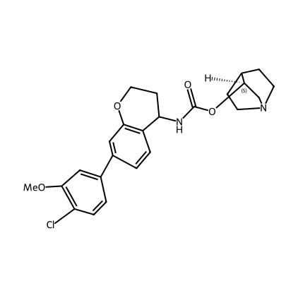 COc1cc(-c2ccc3c(c2)OCCC3NC(=O)O[C@@H]2CN3CCC2CC3)ccc1Cl